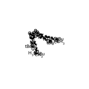 CC(C)(C)OC(=O)N(CCO[Si](C)(C)C(C)(C)C)Cc1cn(C2=CC3CN(C2)C(=O)N3OS(=O)(=O)ON2C(=O)N3CC(n4cc(CN(CCO[Si](C)(C)C(C)(C)C)C(=O)OC(C)(C)C)nn4)=CC2C3)nn1